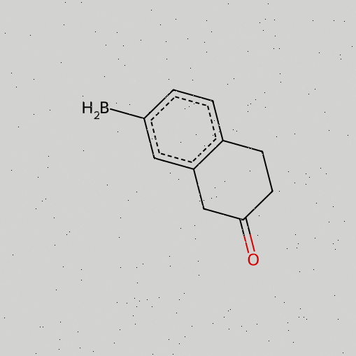 Bc1ccc2c(c1)CC(=O)CC2